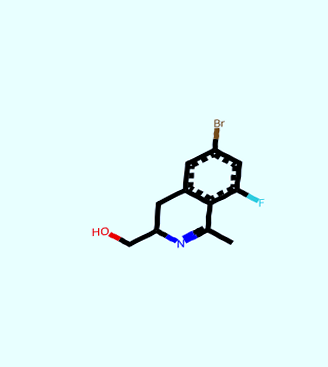 CC1=NC(CO)Cc2cc(Br)cc(F)c21